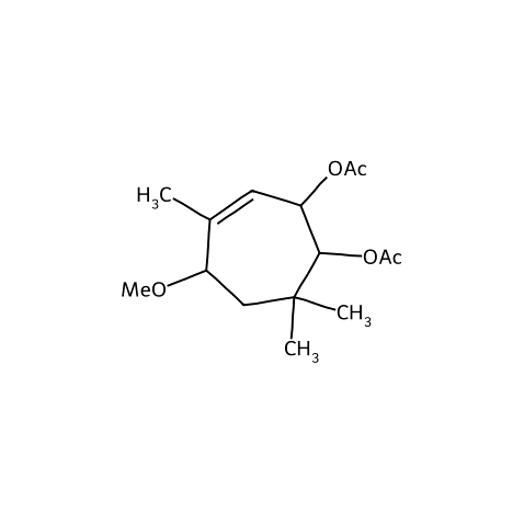 COC1CC(C)(C)C(OC(C)=O)C(OC(C)=O)C=C1C